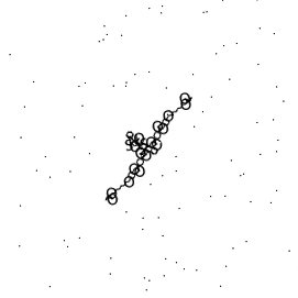 C=CC(=O)OCCCCCCOC1CCC(OC(=O)C2CCC(C(=O)Oc3c4c(c(OC(=O)C5CCC(C(=O)OC6CCC(OCCCCCCOC(=O)C=C)CC6)CC5)c5ccccc35)SC(=C3OC(=S)N(c5ccccc5)C3=O)S4)CC2)CC1